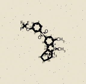 Cc1cc(S(=O)(=O)c2cccc(OC(F)(F)F)c2)cc2c3c(n(C)c12)CC1CCC3N1C